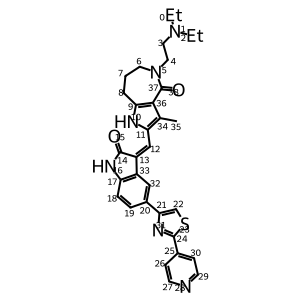 CCN(CC)CCN1CCCc2[nH]c(/C=C3\C(=O)Nc4ccc(-c5csc(-c6ccncc6)n5)cc43)c(C)c2C1=O